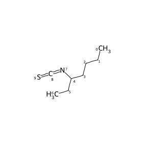 CCCCC(CC)N=C=S